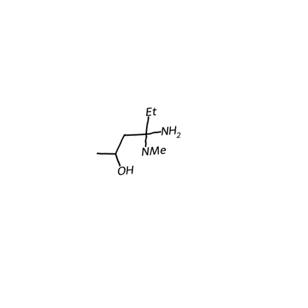 CCC(N)(CC(C)O)NC